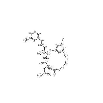 NC(=O)C[C@@H]1NC(=O)CCCCOc2cc(F)cc(c2)C[C@@H]([C@H](O)CNCc2cccc(C(F)(F)F)c2)NC1=O